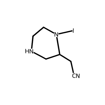 N#CCC1CNCCN1I